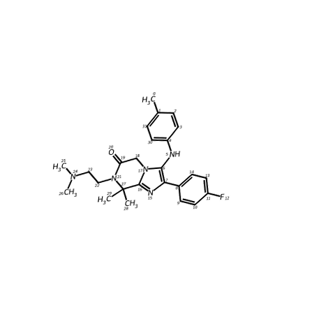 Cc1ccc(Nc2c(-c3ccc(F)cc3)nc3n2CC(=O)N(CCN(C)C)C3(C)C)cc1